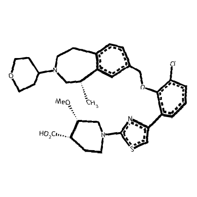 CO[C@@H]1CN(c2nc(-c3cccc(Cl)c3OCc3ccc4c(c3)[C@H](C)CN(C3CCOCC3)CC4)cs2)CC[C@@H]1C(=O)O